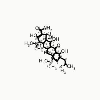 CC(C)Cc1cc(N(C)C)c2c(c1O)C(=O)C1=C(O)[C@]3(O)C(=O)C(C(N)=O)=C(O)[C@@H](N(C)C)[C@@H]3C[C@@H]1C2